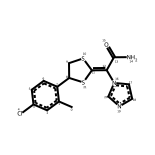 Cc1cc(Cl)ccc1C1CS/C(=C(\C(N)=O)n2ccnc2)S1